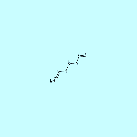 C=CCSCC=C.[LiH]